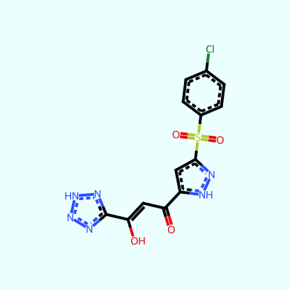 O=C(C=C(O)c1nn[nH]n1)c1cc(S(=O)(=O)c2ccc(Cl)cc2)n[nH]1